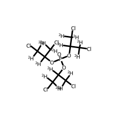 [2H]C([2H])(Cl)C([2H])(OP(=O)(OC([2H])(C([2H])([2H])Cl)C([2H])([2H])Cl)OC([2H])(C([2H])([2H])Cl)C([2H])([2H])Cl)C([2H])([2H])Cl